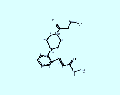 O=C(/C=C/c1ccccc1N1CCN(C(=O)CCC(F)(F)F)CC1)NO